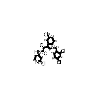 O=C(Nc1ccnc(Cl)c1)C(=O)c1cn(Cc2ccc(Cl)cc2Cl)c2ccc(Cl)cc12